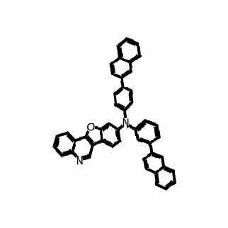 c1cc(-c2ccc3ccccc3c2)cc(N(c2ccc(-c3ccc4ccccc4c3)cc2)c2ccc3c(c2)oc2c4ccccc4ncc32)c1